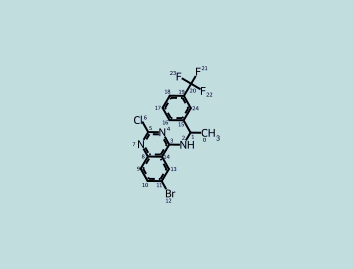 CC(Nc1nc(Cl)nc2ccc(Br)cc12)c1cccc(C(F)(F)F)c1